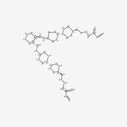 C=CC(=O)OCCC[C@H]1CC[C@H](C2CCC(CO[C@@H]3CCCC[C@H]3OCC3CCC([C@H]4CC[C@H](CCCOC(=O)C=C)CC4)CC3)CC2)CC1